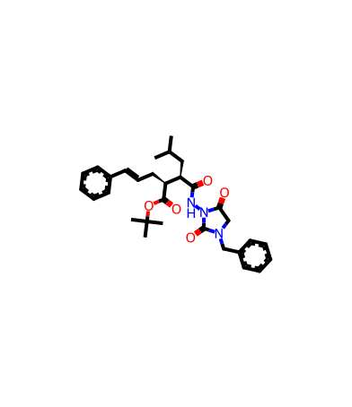 CC(C)C[C@@H](C(=O)NN1C(=O)CN(Cc2ccccc2)C1=O)[C@H](CC=Cc1ccccc1)C(=O)OC(C)(C)C